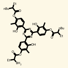 BC(CC)C(=O)Oc1ccc(-c2nc(-c3ccc(OC(=O)C(CC)CCCC)c(C)c3O)nc(-c3ccc(OC(=O)C(CC)CCCC)c(C)c3O)n2)c(O)c1C